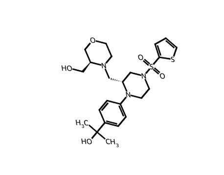 CC(C)(O)c1ccc(N2CCN(S(=O)(=O)c3cccs3)C[C@H]2CN2CCOC[C@@H]2CO)cc1